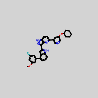 COc1cc(F)cc(-c2cccc3[nH]c(-c4n[nH]c5ccc(-c6cncc(OC7CCCCC7)c6)nc45)cc23)c1